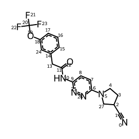 N#CC1CCN(c2ccc(NC(=O)Cc3cccc(OC(F)(F)F)c3)nn2)C1